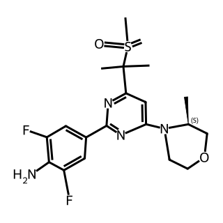 C=S(C)(=O)C(C)(C)c1cc(N2CCOC[C@@H]2C)nc(-c2cc(F)c(N)c(F)c2)n1